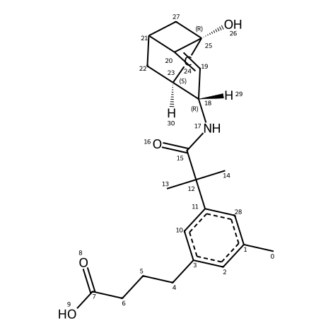 Cc1cc(CCCC(=O)O)cc(C(C)(C)C(=O)N[C@H]2C=C3C4C[C@H]2C[C@]3(O)C4)c1